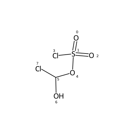 O=S(=O)(Cl)OC(O)Cl